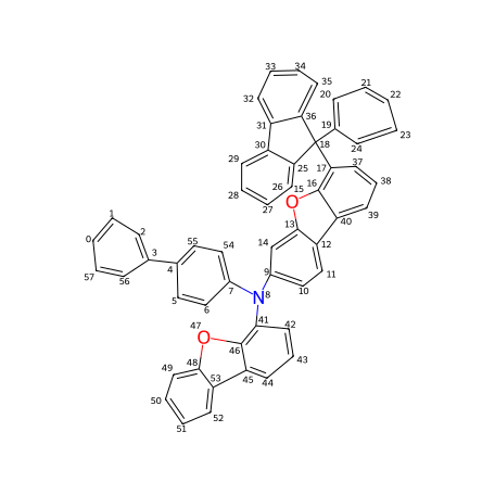 c1ccc(-c2ccc(N(c3ccc4c(c3)oc3c(C5(c6ccccc6)c6ccccc6-c6ccccc65)cccc34)c3cccc4c3oc3ccccc34)cc2)cc1